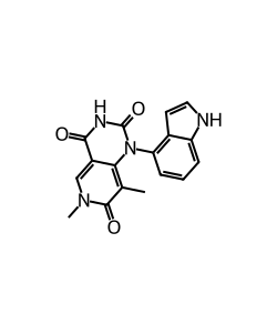 Cc1c(=O)n(C)cc2c(=O)[nH]c(=O)n(-c3cccc4[nH]ccc34)c12